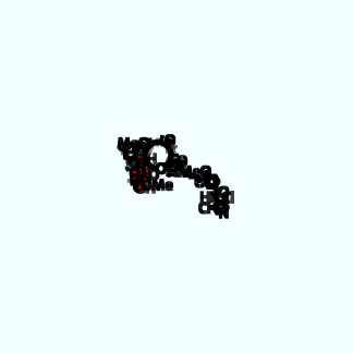 CC[C@H]1OC(=O)[C@H](C)[C@@H](O[C@H]2C[C@@](C)(OC)[C@@H](O)[C@H](C)O2)[C@H](C)[C@@H](O[C@@H]2O[C@H](C)C[C@H](N(C)C(=O)N3CCOCC3)[C@H]2O)[C@](C)(OC)C[C@@H](C)C(=O)[C@H](C)[C@@H](C)[C@]1(C)OC(=O)NCCCOc1cc(C(=O)Nc2c(Cl)cncc2Cl)ccc1OC